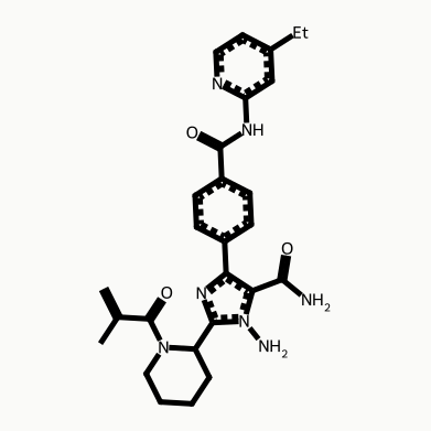 C=C(C)C(=O)N1CCCCC1c1nc(-c2ccc(C(=O)Nc3cc(CC)ccn3)cc2)c(C(N)=O)n1N